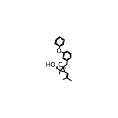 CC(C)=CC1C(C)(C)[C@]1(Cc1cccc(Oc2ccccc2)c1)C(=O)O